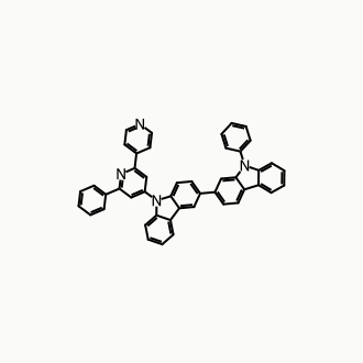 c1ccc(-c2cc(-n3c4ccccc4c4cc(-c5ccc6c7ccccc7n(-c7ccccc7)c6c5)ccc43)cc(-c3ccncc3)n2)cc1